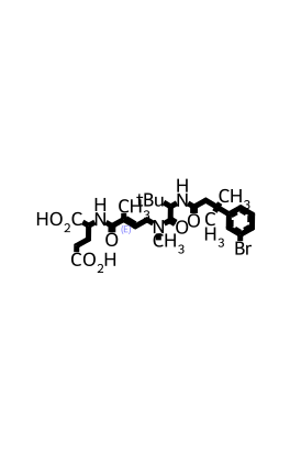 C/C(=C\CN(C)C(=O)C(NC(=O)CC(C)(C)c1cccc(Br)c1)C(C)(C)C)C(=O)NC(CCC(=O)O)C(=O)O